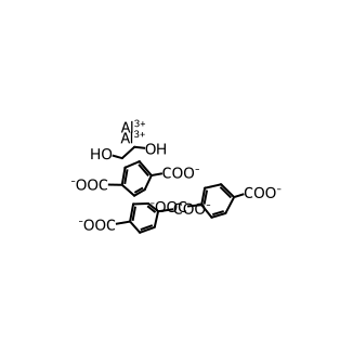 O=C([O-])c1ccc(C(=O)[O-])cc1.O=C([O-])c1ccc(C(=O)[O-])cc1.O=C([O-])c1ccc(C(=O)[O-])cc1.OCCO.[Al+3].[Al+3]